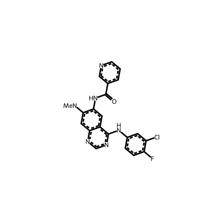 CNc1cc2ncnc(Nc3ccc(F)c(Cl)c3)c2cc1NC(=O)c1cccnc1